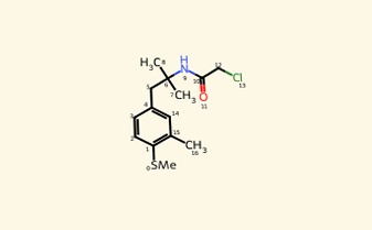 CSc1ccc(CC(C)(C)NC(=O)CCl)cc1C